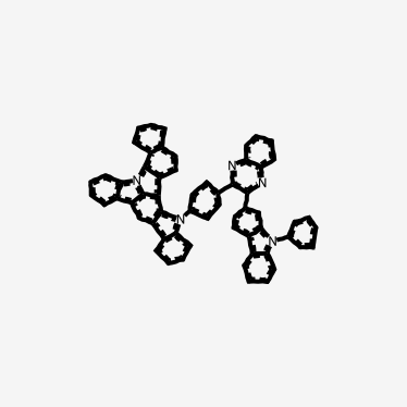 c1ccc(-n2c3ccccc3c3ccc(-c4nc5ccccc5nc4-c4ccc(-n5c6ccccc6c6cc7c8ccccc8n8c9c%10ccccc%10ccc9c(c65)c78)cc4)cc32)cc1